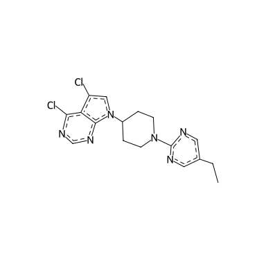 CCc1cnc(N2CCC(n3cc(Cl)c4c(Cl)ncnc43)CC2)nc1